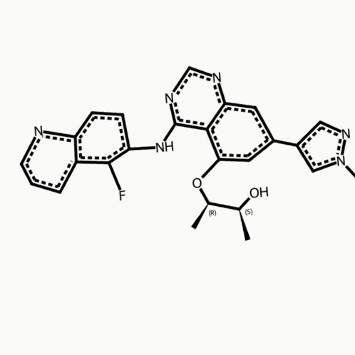 C[C@H](O)[C@@H](C)Oc1cc(-c2cnn(C)c2)cc2ncnc(Nc3ccc4ncccc4c3F)c12